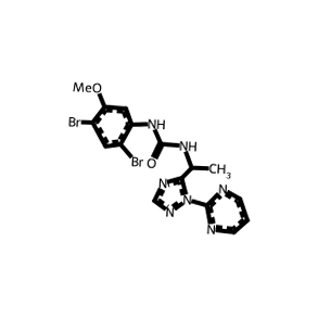 COc1cc(NC(=O)NC(C)c2ncnn2-c2ncccn2)c(Br)cc1Br